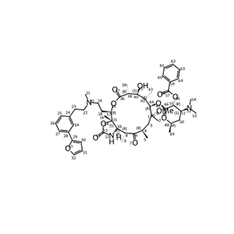 CO[C@]1(C)C[C@@H](C)C(=O)[C@H](C)[C@H]2NC(=O)O[C@]2(C)[C@@H](CCN(C)CCc2cccc(-c3ccco3)c2)OC(=O)[C@H](C)[C@@H](O)[C@H](C)[C@H]1O[C@@H]1O[C@H](C)C[C@H](N(C)C)[C@H]1OC(=O)c1ccccc1